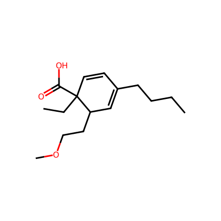 CCCCC1=CC(CCOC)C(CC)(C(=O)O)C=C1